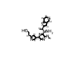 C=Nc1ncc(-c2cnn(CCO)c2)nc1N(N)C(C)c1cc2cnccc2s1